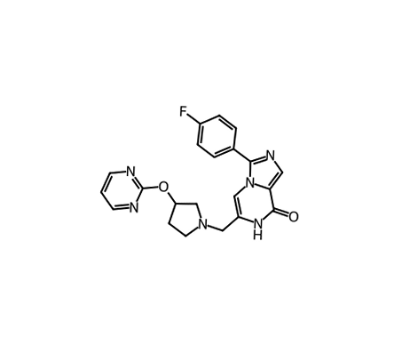 O=c1[nH]c(CN2CCC(Oc3ncccn3)C2)cn2c(-c3ccc(F)cc3)ncc12